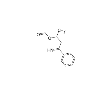 [CH2]C(CC(=N)c1ccccc1)OC=O